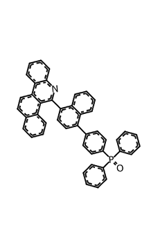 O=P(c1ccccc1)(c1ccccc1)c1ccc(-c2ccc(-c3nc4ccccc4c4ccc5ccccc5c34)c3ccccc23)cc1